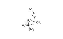 CC(=O)SCC[N+](C)(C)CC(C)(C)[N+](=O)[O-]